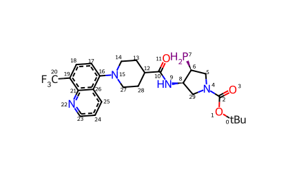 CC(C)(C)OC(=O)N1C[C@H](P)[C@H](NC(=O)C2CCN(c3ccc(C(F)(F)F)c4ncccc34)CC2)C1